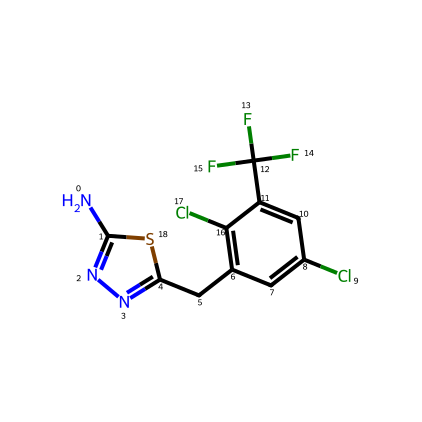 Nc1nnc(Cc2cc(Cl)cc(C(F)(F)F)c2Cl)s1